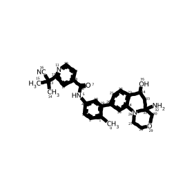 Cc1ccc(NC(=O)c2ccnc(C(C)(C)C#N)c2)cc1-c1ccc2c(c1)N1CCOCC1(N)CC2O